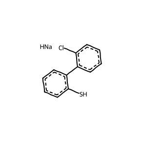 Sc1ccccc1-c1ccccc1Cl.[NaH]